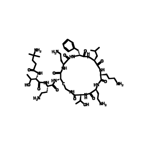 CC(C)C[C@@H]1NC(=O)[C@@H](Cc2ccccc2)NC(=O)[C@H](CCN)NC(=O)[C@@H](NC(=O)[C@H](CCN)NC(=O)[C@@H](NC(=O)CCC(C)(C)N)C(C)O)CCNC(=O)[C@H](C(C)O)NC(=O)[C@H](CCN)NC(=O)[C@H](CCCN)NC1=O